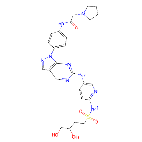 O=C(CN1CCCC1)Nc1ccc(-n2ncc3cnc(Nc4ccc(NS(=O)(=O)CCC(O)CO)nc4)nc32)cc1